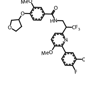 COc1cc(C(=O)NCC(c2ccc(OC)c(-c3ccc(F)c(Cl)c3)n2)C(F)(F)F)ccc1OC1CCOC1